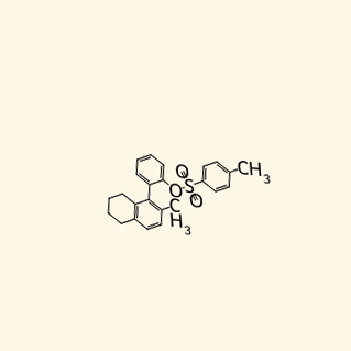 Cc1ccc(S(=O)(=O)Oc2ccccc2-c2c(C)ccc3c2CCCC3)cc1